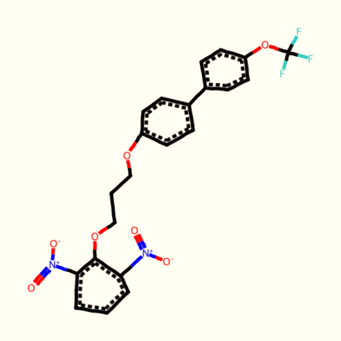 O=[N+]([O-])c1cccc([N+](=O)[O-])c1OCCCOc1ccc(-c2ccc(OC(F)(F)F)cc2)cc1